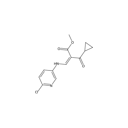 COC(=O)C(=CNc1ccc(Cl)nc1)C(=O)C1CC1